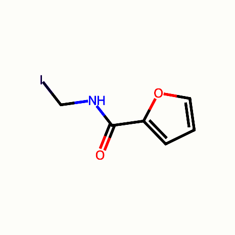 O=C(NCI)c1ccco1